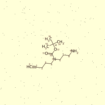 C#CCCCN(CCCN)C(=O)OC(C)(C)C